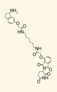 N[C@@H]1CCc2ccc(OCC(=O)NCCCCCCNC(=O)COc3cccc4c3C(=O)N(C3CCC(=O)NC3=O)C4=O)cc21